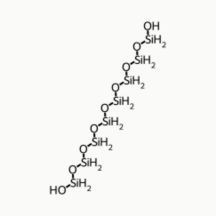 O[SiH2]O[SiH2]O[SiH2]O[SiH2]O[SiH2]O[SiH2]O[SiH2]O[SiH2]O